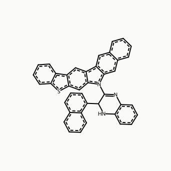 c1ccc2c(c1)N=C(n1c3cc4ccccc4cc3c3cc4c(cc31)sc1ccccc14)C(c1cccc3ccccc13)N2